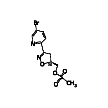 CS(=O)(=O)OC[C@@H]1CC(c2ccc(Br)cn2)=NO1